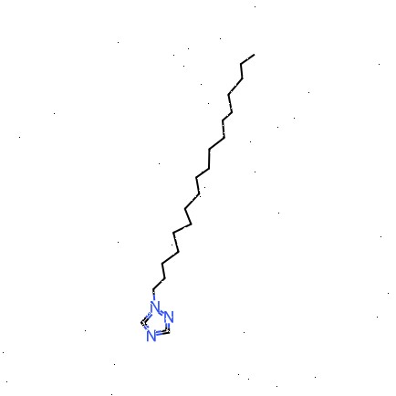 CCCCCCCCCCCCCCCCCCn1cncn1